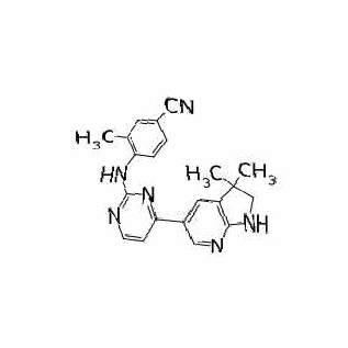 Cc1cc(C#N)ccc1Nc1nccc(-c2cnc3c(c2)C(C)(C)CN3)n1